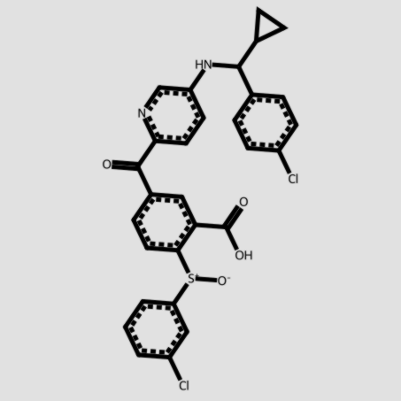 O=C(c1ccc([S+]([O-])c2cccc(Cl)c2)c(C(=O)O)c1)c1ccc(NC(c2ccc(Cl)cc2)C2CC2)cn1